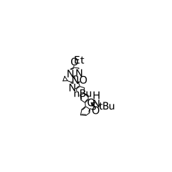 CCCCc1nc(C2CC2)n(-c2ncc(OCC)cn2)c(=O)c1Cc1ccc(-c2ccccc2S(=O)(=O)NC(C)(C)C)cc1